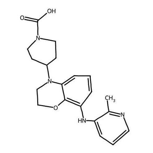 Cc1ncccc1Nc1cccc2c1OCCN2C1CCN(C(=O)O)CC1